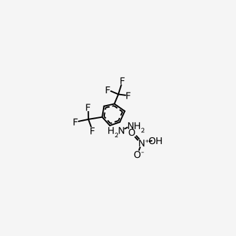 FC(F)(F)c1cccc(C(F)(F)F)c1.NN.O=[N+]([O-])O